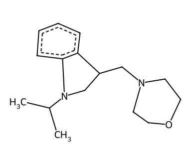 CC(C)N1CC(CN2CCOCC2)c2ccccc21